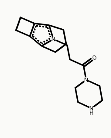 O=C(CCn1c2c3c(c1CCC2)CC3)N1CCNCC1